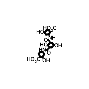 O=C(O)c1ccc(NC(=O)c2cc(O)cc(C(=O)Nc3ccc(C(=O)O)c(O)c3)c2O)cc1O